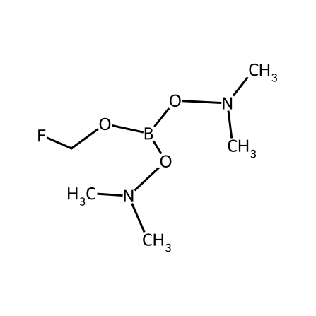 CN(C)OB(OCF)ON(C)C